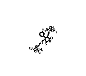 CC(C)(C)[Si](C)(C)OCCOCn1c(-c2ccccc2)c(C#C[Si](C)(C)C)c(=O)[nH]c1=S